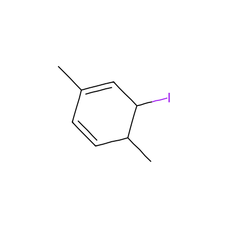 CC1=CC(I)C(C)C=C1